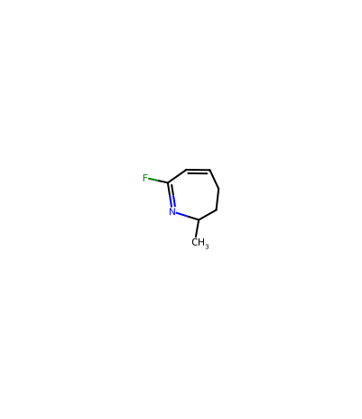 CC1CCC=CC(F)=N1